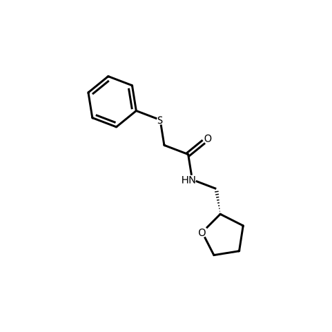 O=C(CSc1ccccc1)NC[C@@H]1CCCO1